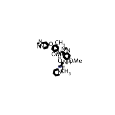 COc1cc2ncnc(Nc3cc(C)c(Oc4ccn5ncnc5c4)cc3OC)c2cc1NC(=O)/C(F)=C/[C@H]1CCCCN1C